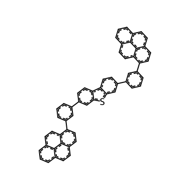 c1cc(-c2ccc3c(c2)sc2cc(-c4cccc(-c5ccc6ccc7cccc8ccc5c6c78)c4)ccc23)cc(-c2ccc3ccc4cccc5ccc2c3c45)c1